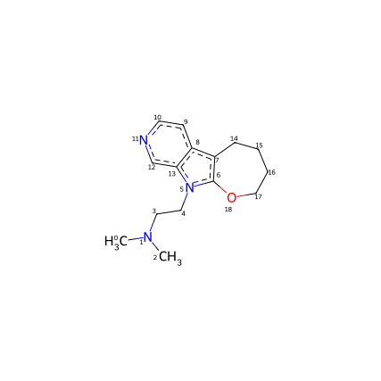 CN(C)CCn1c2c(c3ccncc31)CCCCO2